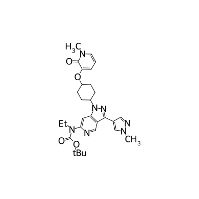 CCN(C(=O)OC(C)(C)C)c1cc2c(cn1)c(-c1cnn(C)c1)nn2C1CCC(Oc2cccn(C)c2=O)CC1